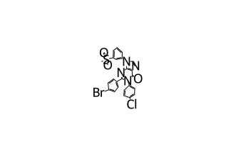 CS(=O)(=O)c1cccc(-n2cnc3c(=O)n(-c4ccc(Cl)cc4)c(-c4ccc(Br)cc4)nc32)c1